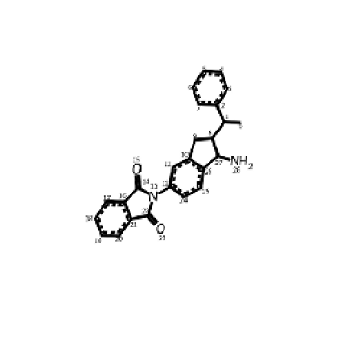 CC(c1ccccc1)C1Cc2cc(N3C(=O)c4ccccc4C3=O)ccc2C1N